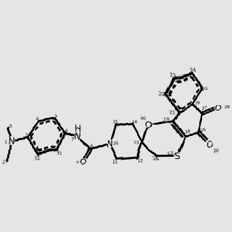 CN(C)c1ccc(NC(=O)N2CCC3(CC2)CSC2=C(O3)c3ccccc3C(=O)C2=O)cc1